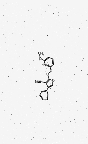 COc1cccc(COc2scc(-c3ccccc3)c2C#N)n1